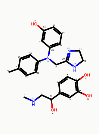 CNC[C@H](O)c1ccc(O)c(O)c1.Cc1ccc(N(CC2=NCCN2)c2cccc(O)c2)cc1